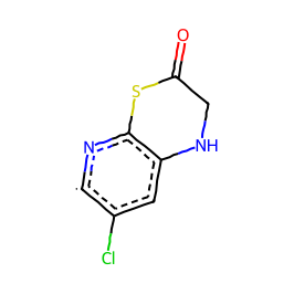 O=C1CNc2cc(Cl)[c]nc2S1